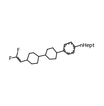 CCCCCCCc1ccc(C2CCC(C3CCC(C=C(F)F)CC3)CC2)cc1